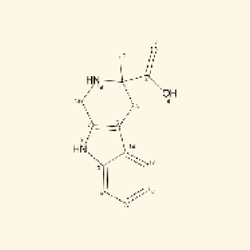 CC1(C(=O)O)Cc2c([nH]c3ccccc23)CN1